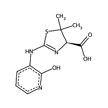 CC1(C)SC(Nc2cccnc2O)=N[C@@H]1C(=O)O